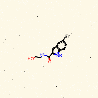 CC(C)c1ccc2[nH]c(C(=O)NCCO)cc2c1